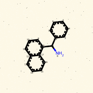 NC(c1ccccc1)c1cccc2ccccc12